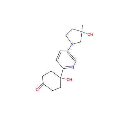 CC1(O)CCN(c2ccc(C3(O)CCC(=O)CC3)nc2)C1